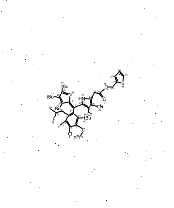 CCCOc1c(Cl)c(I)c(CC(C)F)c(/C(=C2/N=C(C(C)(C)C)C(C(C)(C)C)=C2C(C)(C)C)c2[nH]c(CC(=O)OCc3cccs3)c(C#N)c2CC)c1C(C)(C)C